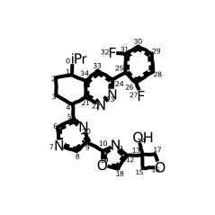 CC(C)C1CCC(c2cncc(-c3nc(C4(O)COC4)co3)n2)c2nnc(-c3c(F)cccc3F)cc21